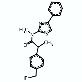 CC(C)Cc1ccc(C(C)C(=O)N(C)c2nc(-c3ccccc3)cs2)cc1